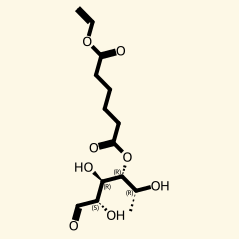 C=COC(=O)CCCCC(=O)O[C@@H]([C@H](O)[C@H](O)C=O)[C@@H](C)O